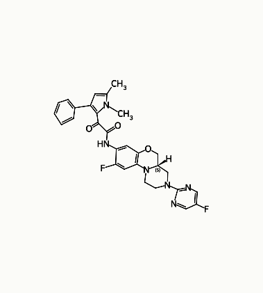 Cc1cc(-c2ccccc2)c(C(=O)C(=O)Nc2cc3c(cc2F)N2CCN(c4ncc(F)cn4)C[C@H]2CO3)n1C